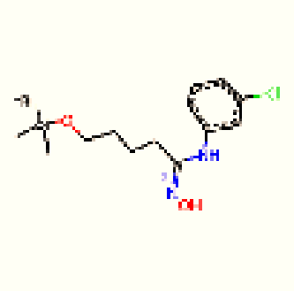 CC(C)(C)[Si](C)(C)OCCCC/C(=N/O)Nc1cccc(Cl)c1